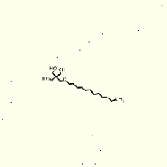 CCCCCCCCCCCCOCC(CO)(CO)CO